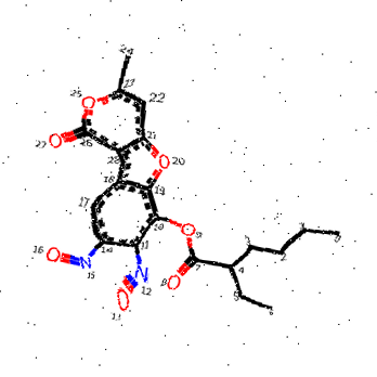 CCCCC(CC)C(=O)Oc1c(N=O)c(N=O)cc2c1oc1cc(C)oc(=O)c12